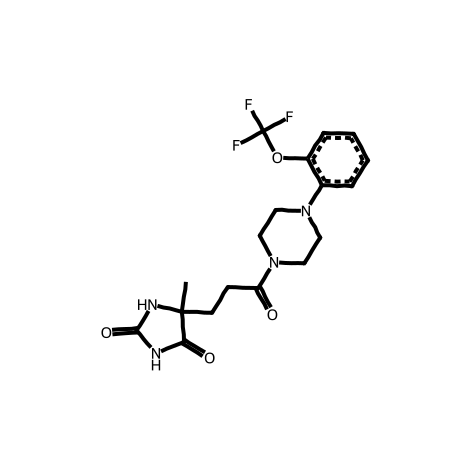 CC1(CCC(=O)N2CCN(c3ccccc3OC(F)(F)F)CC2)NC(=O)NC1=O